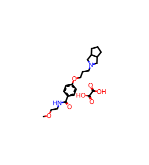 COCCNC(=O)c1ccc(OCCCN2CC3CCCC3C2)cc1.O=C(O)C(=O)O